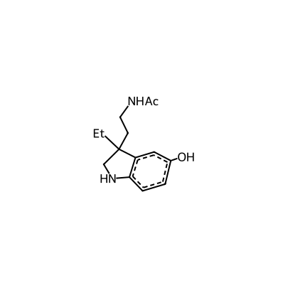 CCC1(CCNC(C)=O)CNc2ccc(O)cc21